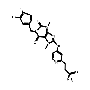 Cn1c(Nc2ccnc(CCC(N)=O)c2)nc2c1c(=O)n(Cc1ccc(Cl)c(Cl)c1)c(=O)n2C